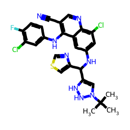 CC(C)(C)N1C=C(C(Nc2cc(Cl)c3ncc(C#N)c(Nc4ccc(F)c(Cl)c4)c3c2)c2cscn2)NN1